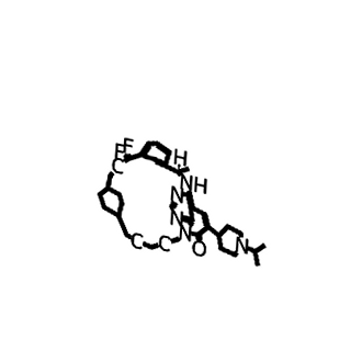 CC(C)N1CCC(c2cc3c4ncnc3n(c2=O)CCCCCC2CCC(CC2)CCC(F)(F)c2cccc(c2)[C@@H](C)N4)CC1